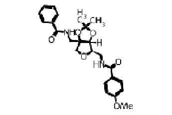 COc1ccc(C(=O)NC[C@H]2OC[C@]3(CNC(=O)c4ccccc4)OC(C)(C)O[C@H]23)cc1